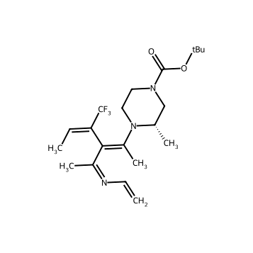 C=C\N=C(C)/C(C(=C\C)/C(F)(F)F)=C(\C)N1CCN(C(=O)OC(C)(C)C)C[C@@H]1C